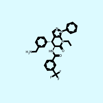 CCN1C(=O)[C@@H](NC(=O)c2cccc(C(F)(F)F)c2)[C@H](c2cccc(CN)c2)c2cnn(-c3ccccc3)c21